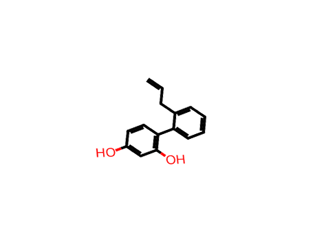 C=CCc1ccccc1-c1ccc(O)cc1O